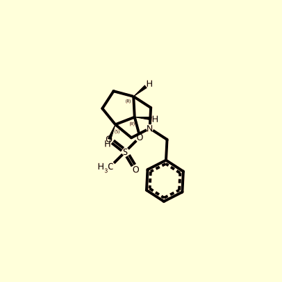 CS(=O)(=O)O[C@H]1[C@@H]2CC[C@H]1CN(Cc1ccccc1)C2